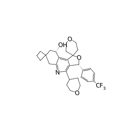 O[C@H]1CC2(CCC2)Cc2nc(C3CCOCC3)c3c(c21)C1(CCOCC1)O[C@@H]3c1ccc(C(F)(F)F)cc1